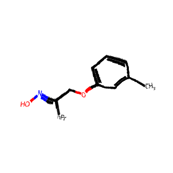 CCC/C(COc1cccc(C)c1)=N\O